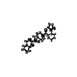 O=C(c1ccccc1-n1cccn1)N1CC2CC(C1)CN(c1ncc3ccccc3n1)C2